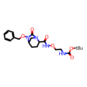 CC(C)(C)OC(=O)NCCONC(=O)C1CCC2CN1C(=O)N2OCc1ccccc1